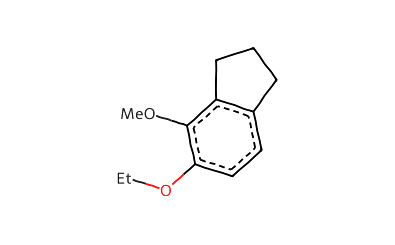 CCOc1ccc2c(c1OC)CCC2